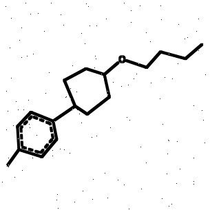 CCCCOC1CCC(c2ccc(C)cc2)CC1